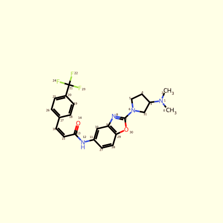 CN(C)C1CCN(c2nc3cc(NC(=O)/C=C\c4ccc(C(F)(F)F)cc4)ccc3o2)C1